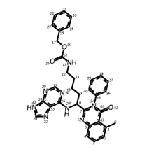 Cc1cccc2nc(C(CCCCNC(=O)OCc3ccccc3)Nc3ncnc4[nH]cnc34)n(-c3ccccc3)c(=O)c12